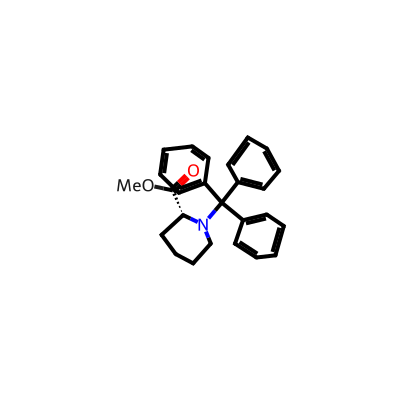 COC(=O)[C@H]1CCCCN1C(c1ccccc1)(c1ccccc1)c1ccccc1